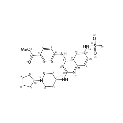 COC(=O)c1ccc(Nc2nc(NC3CCN(C4CCCC4)CC3)nc3ccc(NS(C)(=O)=O)cc23)cc1